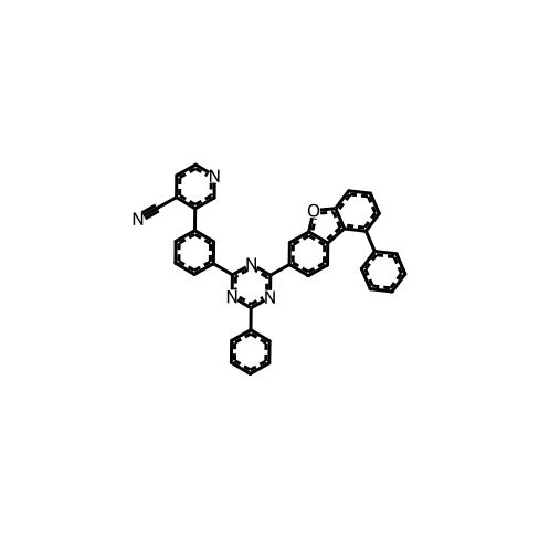 N#Cc1ccncc1-c1cccc(-c2nc(-c3ccccc3)nc(-c3ccc4c(c3)oc3cccc(-c5ccccc5)c34)n2)c1